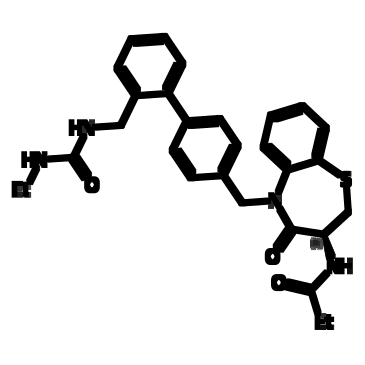 CCNC(=O)NCc1ccccc1-c1ccc(CN2C(=O)[C@H](NC(=O)CC)CSc3ccccc32)cc1